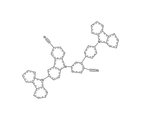 N#Cc1ccc2c(c1)c1cc(-n3c4ccccc4c4ccccc43)ccc1n2-c1ccc(C#N)c(-c2ccc(-n3c4ccccc4c4ccccc43)cc2)c1